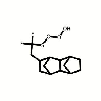 OOOSC(F)(F)CC1CC2CC1C1C3CCC(C3)C21